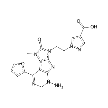 Cn1c(=O)n(CCn2cc(C(=O)O)cn2)c2nc3c(n21)C(c1ccco1)=NCN3N